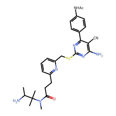 CC(=O)Nc1ccc(-c2nc(SCc3cccc(CCC(=O)N(C)C(C)(C)C(C)N)n3)nc(N)c2C#N)cc1